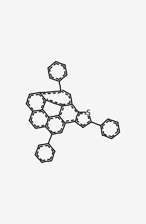 c1ccc(-c2cc3c4cc(-c5ccccc5)c5ccc6ccc7c(-c8ccccc8)cc(c3s2)c2c7c6c5c42)cc1